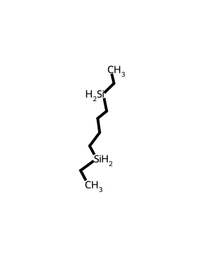 CC[SiH2]CCCC[SiH2]CC